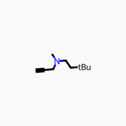 C#CCN(C)CCC(C)(C)C